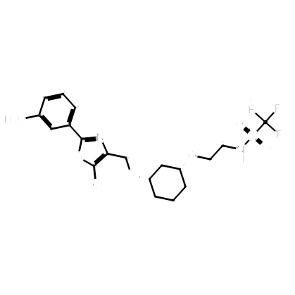 Cc1cccc(-c2nc(CO[C@H]3CCC[C@@H](OCCNS(=O)(=O)C(F)(F)F)C3)c(C)o2)c1